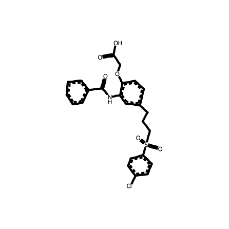 O=C(O)COc1ccc(CCCS(=O)(=O)c2ccc(Cl)cc2)cc1NC(=O)c1ccccc1